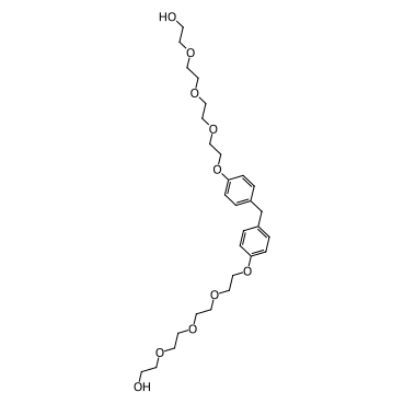 OCCOCCOCCOCCOc1ccc(Cc2ccc(OCCOCCOCCOCCO)cc2)cc1